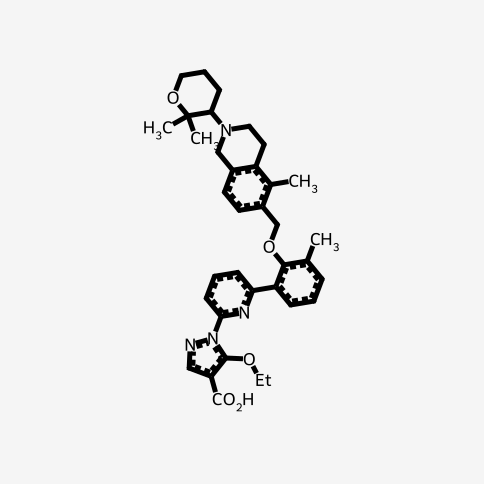 CCOc1c(C(=O)O)cnn1-c1cccc(-c2cccc(C)c2OCc2ccc3c(c2C)CCN(C2CCCOC2(C)C)C3)n1